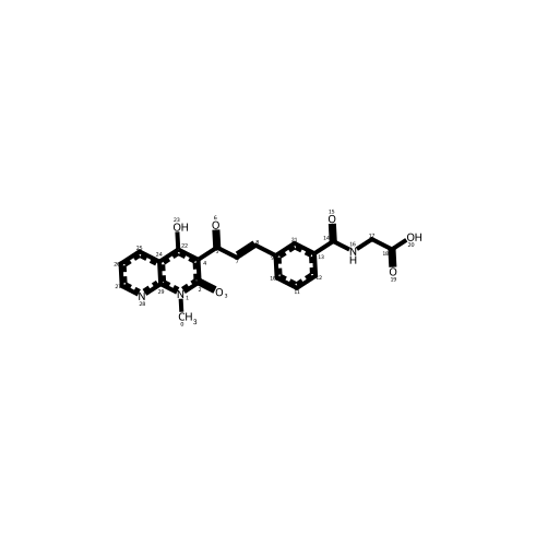 Cn1c(=O)c(C(=O)/C=C/c2cccc(C(=O)NCC(=O)O)c2)c(O)c2cccnc21